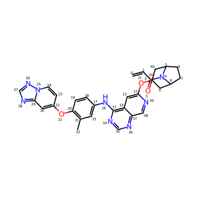 C=CC(=O)N1C2CCC1CC(Oc1cc3c(Nc4ccc(Oc5ccn6ncnc6c5)c(C)c4)ncnc3cn1)C2